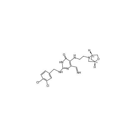 N=Cc1nc(NCc2ccc(Cl)c(Cl)c2)[nH]c(=O)c1NCCN1C[C@@H]2C[C@H]1CO2